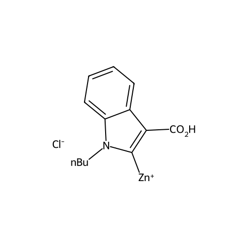 CCCCn1[c]([Zn+])c(C(=O)O)c2ccccc21.[Cl-]